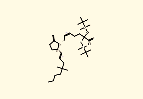 C=C1CC[C@H](/C=C/CC(C)(C)CCCC)[C@H]1C/C=C\CCC(O[Si](C)(C)C(C)(C)C)(O[Si](C)(C)C(C)(C)C)C(=O)Cl